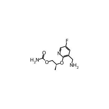 C[C@@H](COC(N)=O)Oc1ncc(F)cc1CN